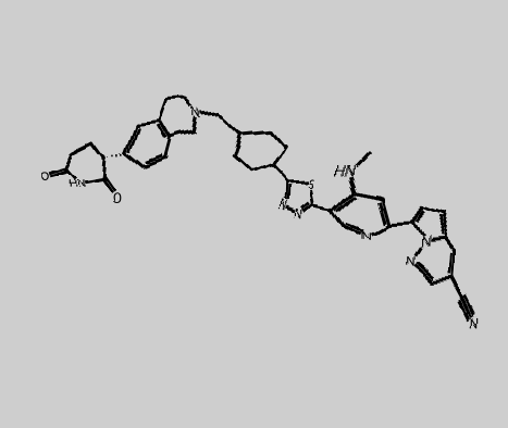 CNc1cc(-c2ccc3cc(C#N)cnn23)ncc1-c1nnc(C2CCC(CN3CCc4cc([C@H]5CCC(=O)NC5=O)ccc4C3)CC2)s1